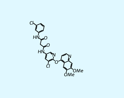 COc1cc2nccc(Oc3ncc(NC(=O)CC(=O)Nc4cccc(Cl)c4)cc3Cl)c2cc1OC